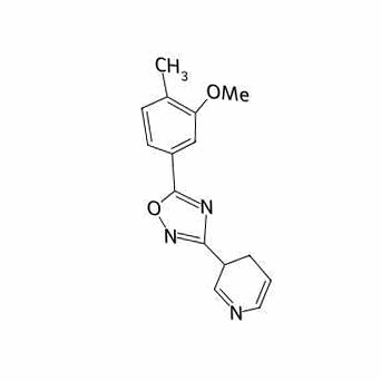 COc1cc(-c2nc(C3C=NC=CC3)no2)ccc1C